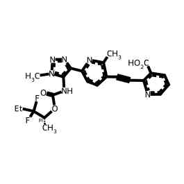 CCC(F)(F)[C@@H](C)OC(=O)Nc1c(-c2ccc(C#Cc3ncccc3C(=O)O)c(C)n2)nnn1C